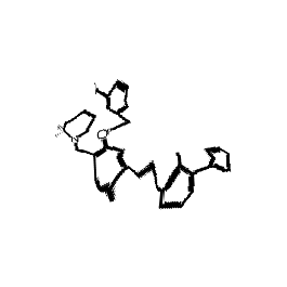 Cc1cc(CN2CCCC[C@H]2C)c(OCc2cccc(I)c2)cc1CCc1cccc(-c2ccccc2)c1C